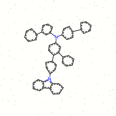 c1ccc(-c2ccc(N(c3cccc(-c4ccccc4)c3)c3ccc(-c4ccc(-n5c6ccccc6c6ccccc65)cc4)c(-c4ccccc4)c3)cc2)cc1